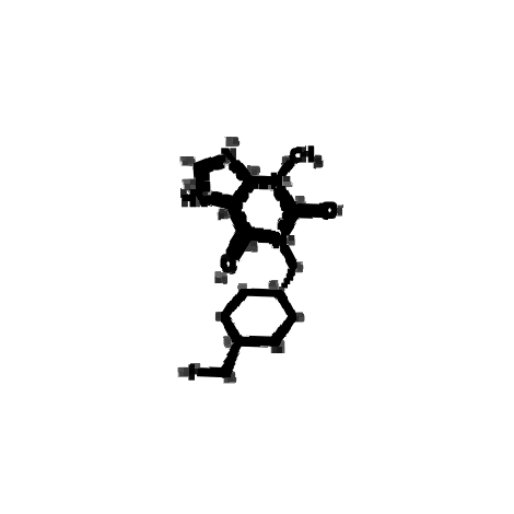 Cn1c(=O)n(C[C@H]2CC[C@H](CF)CC2)c(=O)c2[nH]cnc21